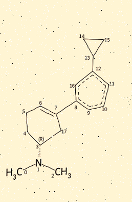 CN(C)[C@@H]1CCC=C(c2cccc(C3CC3)c2)C1